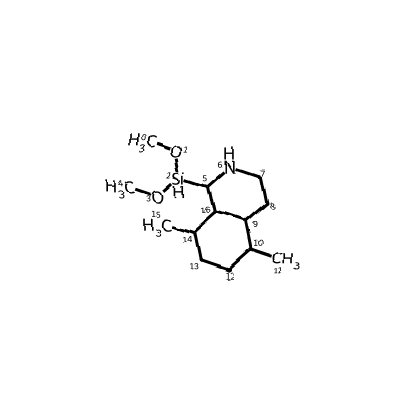 CO[SiH](OC)C1NCCC2C(C)CCC(C)C21